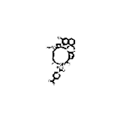 CO[C@H]1/C=C/C[C@H](C)C[S@@](=O)(NC(=O)N2CCC(C(F)F)CC2)=NC(=O)c2ccc3c(c2)N(C[C@@H]2CC[C@H]21)C[C@@]1(CCCc2cc(Cl)ccc21)CO3